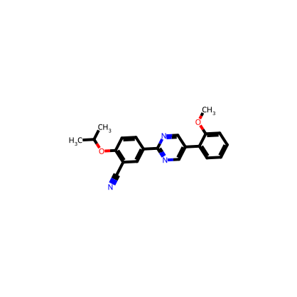 COc1ccccc1-c1cnc(-c2ccc(OC(C)C)c(C#N)c2)nc1